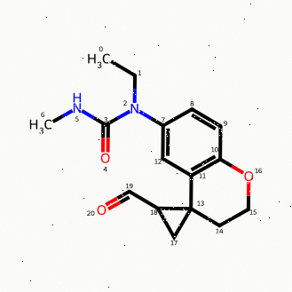 CCN(C(=O)NC)c1ccc2c(c1)C1(CCO2)CC1C=O